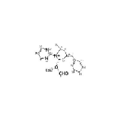 CC(C)(C)OC=O.CC1CN(Cc2ccccc2)CCN1c1ncccn1